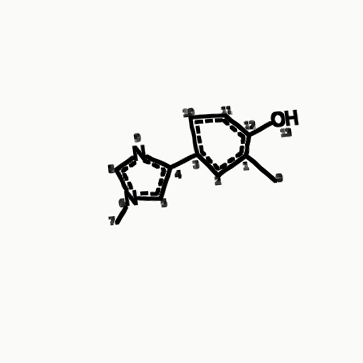 Cc1cc(-c2cn(C)cn2)ccc1O